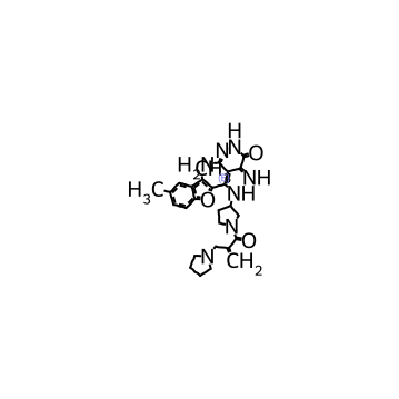 C=C(CN1CCCC1)C(=O)N1CCC(N/C(=C2\C(=N)C(=O)NN=C2N)c2oc3ccc(C)cc3c2C)C1